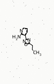 CCCc1nc(-c2cccnc2N)no1